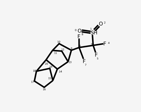 O=[SH](=O)C(F)(F)C(F)(F)C1CC2CC1C1C3CCC(C3)C21